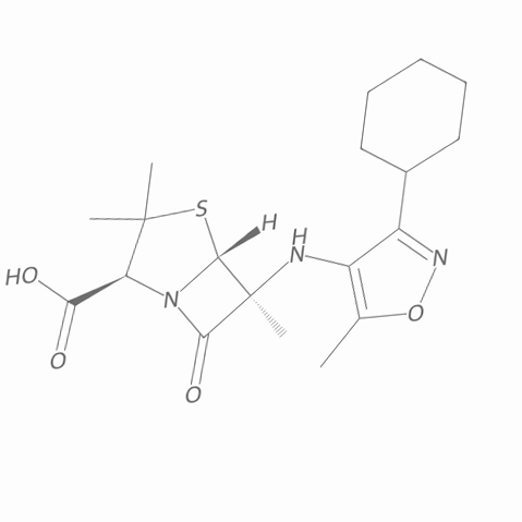 Cc1onc(C2CCCCC2)c1N[C@@]1(C)C(=O)N2[C@@H](C(=O)O)C(C)(C)S[C@@H]21